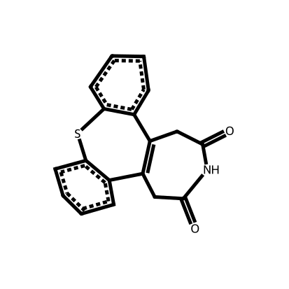 O=C1CC2=C(CC(=O)N1)c1ccccc1Sc1ccccc12